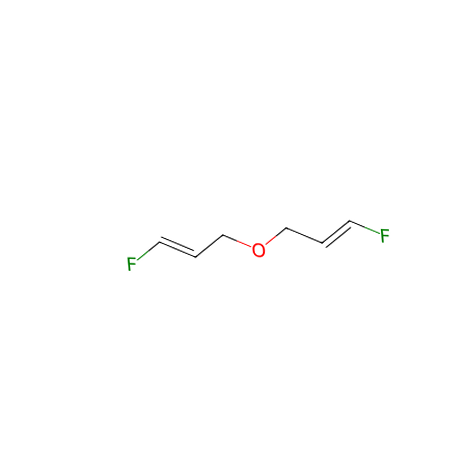 FC=CCOCC=CF